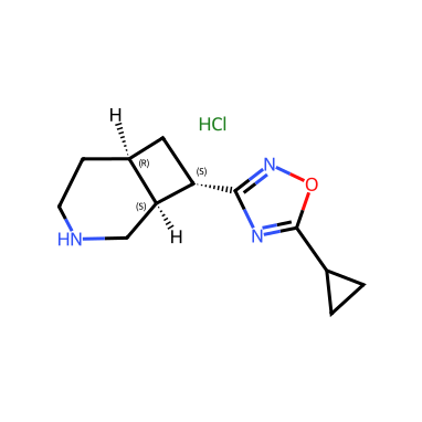 C1C[C@H]2C[C@H](c3noc(C4CC4)n3)[C@H]2CN1.Cl